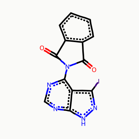 O=C1c2ccccc2C(=O)N1c1ncnc2[nH]nc(I)c12